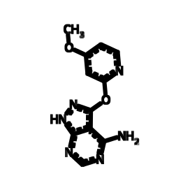 COc1ccnc(Oc2n[nH]c3ncnc(N)c23)c1